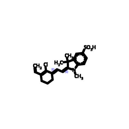 C=CC1=C(Cl)/C(=C/C=C2/N(C)c3ccc(S(=O)(=O)O)cc3C2(C)C)CCC1